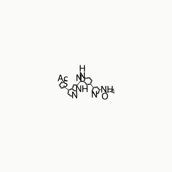 CC(=O)c1ccc(-c2ccnc3[nH]c(-c4n[nH]c5ccc(-c6cncc(NC(=O)C7CC7)c6)cc45)cc23)s1